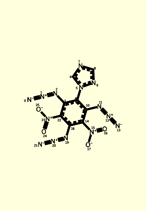 [N-]=[N+]=Nc1c(-n2cncn2)c(N=[N+]=[N-])c([N+](=O)[O-])c(N=[N+]=[N-])c1[N+](=O)[O-]